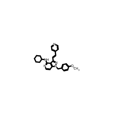 COc1ccc(Cn2nc(/C=C/c3ccncc3)c3c(NC4CCCCC4)nccc32)cc1